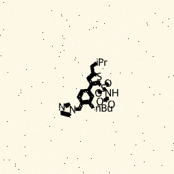 CCCCOC(=O)NS(=O)(=O)c1sc(CC(C)C)cc1-c1ccc(Cn2ccnc2)c(C)c1